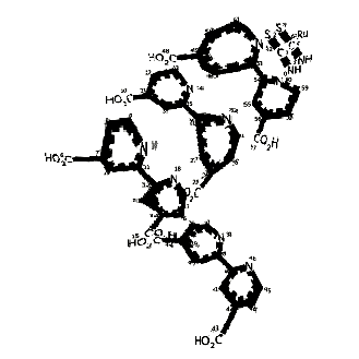 N=C=S.N=C=S.O=C(O)c1ccnc(-c2cc(C(=O)O)ccn2)c1.O=C(O)c1ccnc(-c2cc(C(=O)O)ccn2)c1.O=C(O)c1ccnc(-c2cc(C(=O)O)ccn2)c1.O=C(O)c1ccnc(-c2cc(C(=O)O)ccn2)c1.[Ru]